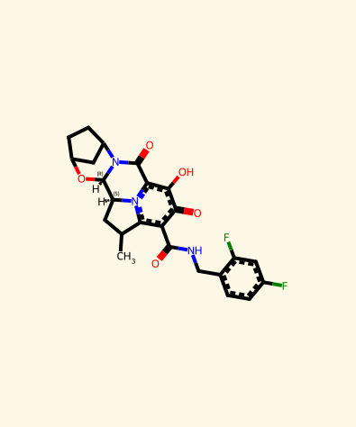 CC1C[C@H]2[C@H]3OC4CCC(C4)N3C(=O)c3c(O)c(=O)c(C(=O)NCc4ccc(F)cc4F)c1n32